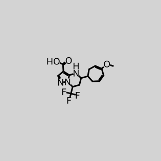 COC1=CCC(C2CC(C(F)(F)F)n3ncc(C(=O)O)c3N2)CC=C1